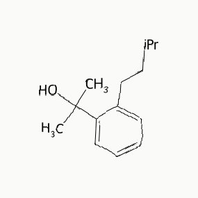 CC(C)CCc1ccccc1C(C)(C)O